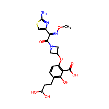 CON=C(C(=O)N1CC(Oc2ccc(CCB(O)O)c(O)c2C(=O)O)C1)c1csc(N)n1